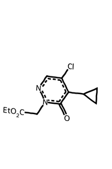 CCOC(=O)Cn1ncc(Cl)c(C2CC2)c1=O